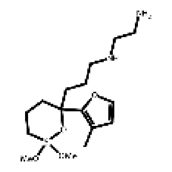 CO[Si]1(OC)CCCC(CCCNCCN)(c2occc2C)O1